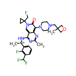 Cc1nc(N[C@H](C)c2cccc(C(F)F)c2F)c2cn(C3(CF)CC3)c(=O)c(N3CCN(CC4(C)COC4)CC3)c2n1